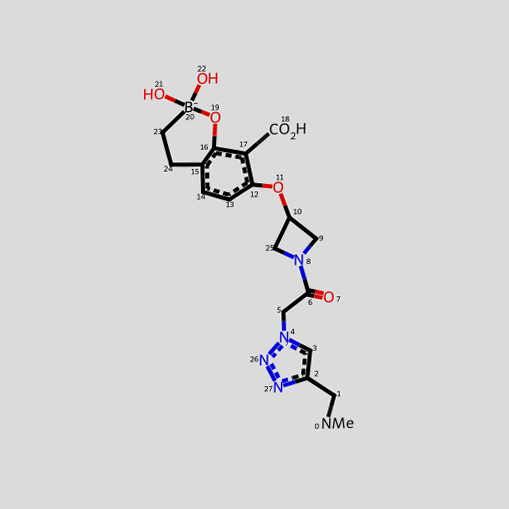 CNCc1cn(CC(=O)N2CC(Oc3ccc4c(c3C(=O)O)O[B-](O)(O)CC4)C2)nn1